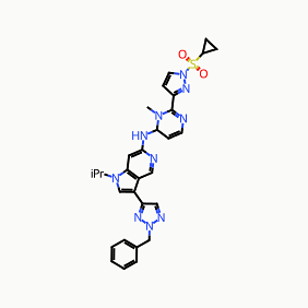 CC(C)n1cc(-c2cnn(Cc3ccccc3)n2)c2cnc(NC3C=CN=C(c4ccn(S(=O)(=O)C5CC5)n4)N3C)cc21